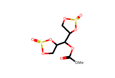 COC(=O)OC(C1COS(=O)O1)C1COS(=O)O1